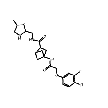 CC1CNC(CNC(=O)C2CC3(NC(=O)COc4ccc(Cl)c(F)c4)CC2C3)S1